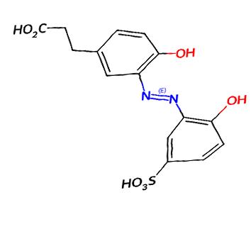 O=C(O)CCc1ccc(O)c(/N=N/c2cc(S(=O)(=O)O)ccc2O)c1